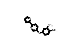 Nc1ccc(Sc2ccc(-c3cccs3)nc2)cc1N